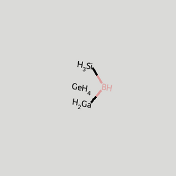 [GeH4].[SiH3][BH][GaH2]